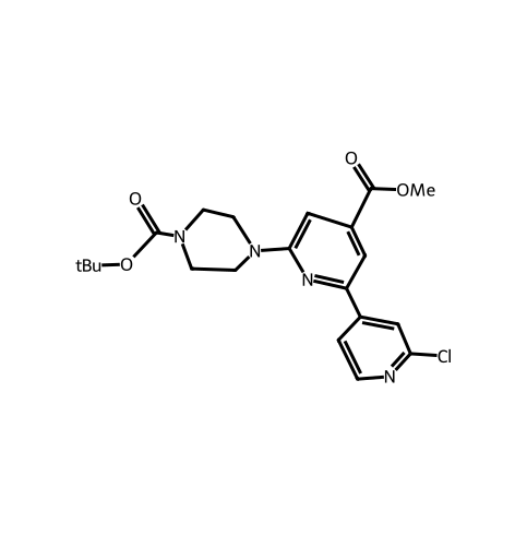 COC(=O)c1cc(-c2ccnc(Cl)c2)nc(N2CCN(C(=O)OC(C)(C)C)CC2)c1